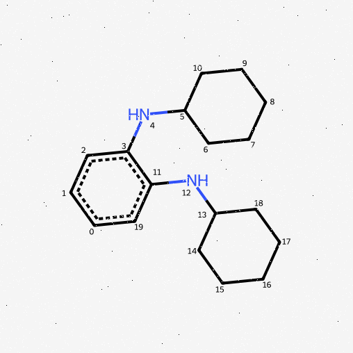 c1ccc(NC2CCCCC2)c(NC2CCCCC2)c1